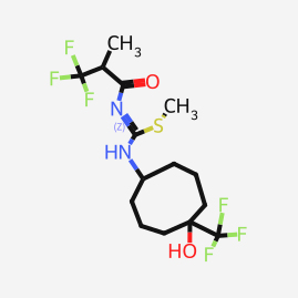 CS/C(=N\C(=O)C(C)C(F)(F)F)NC1CCCC(O)(C(F)(F)F)CCC1